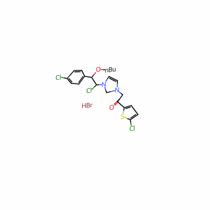 Br.CCCCOC(c1ccc(Cl)cc1)C(Cl)N1C=CN(CC(=O)c2ccc(Cl)s2)C1